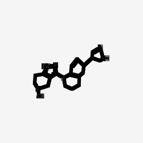 CC(=O)N1CCc2[nH]nc(N3CCCC4=C3C=CC(C3C=NNC3)C4)c2C1